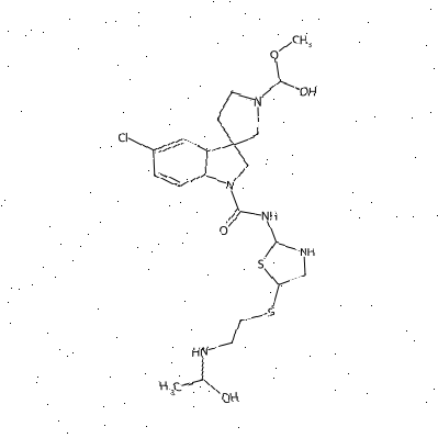 COC(O)N1CCC2(C1)CN(C(=O)NC1NCC(SCCNC(C)O)S1)C1C=CC(Cl)=CC12